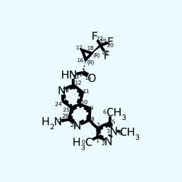 Cc1nn(C)c(C)c1-c1cc2cc(NC(=O)[C@@H]3C[C@H]3C(F)(F)F)ncc2c(N)n1